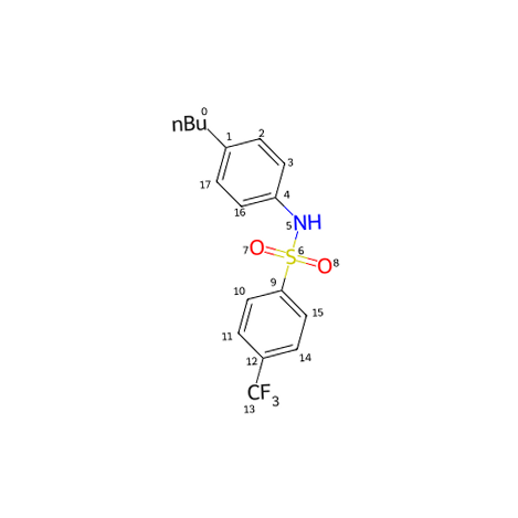 CCCCc1ccc(NS(=O)(=O)c2ccc(C(F)(F)F)cc2)cc1